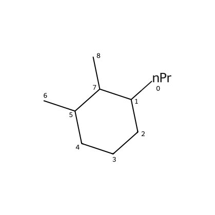 C[CH]CC1CCCC(C)C1C